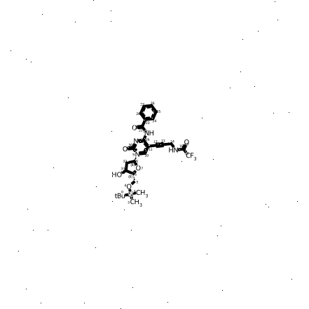 CC(C)(C)[Si](C)(C)OC[C@H]1O[C@@H](n2cc(C#CCNC(=O)C(F)(F)F)c(NC(=O)c3ccccc3)nc2=O)CC1O